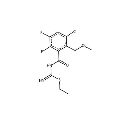 CCSC(=N)NC(=O)c1c(F)c(F)cc(Cl)c1COC